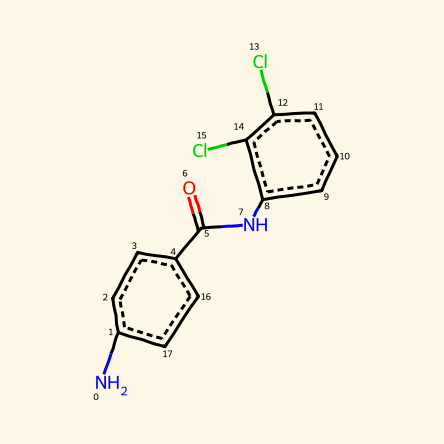 Nc1ccc(C(=O)Nc2cccc(Cl)c2Cl)cc1